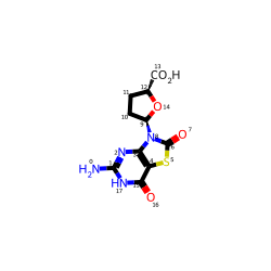 Nc1nc2c(sc(=O)n2[C@H]2CC[C@@H](C(=O)O)O2)c(=O)[nH]1